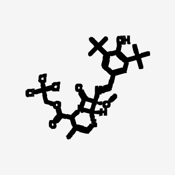 CO[C@@]1(N=Cc2cc(C(C)(C)C)c(O)c(C(C)(C)C)c2)C(=O)N2C(C(=O)OCC(Cl)(Cl)Cl)C(C)=CS[C@H]21